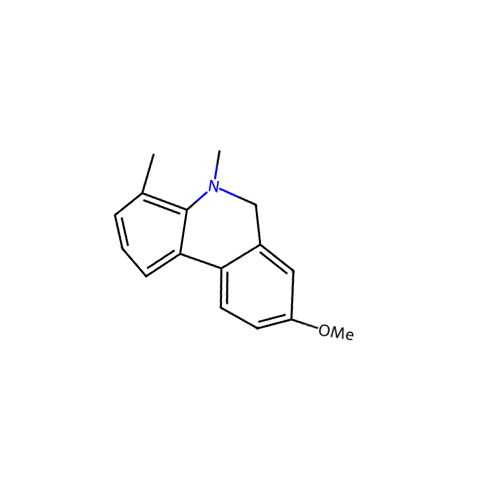 COc1ccc2c(c1)CN(C)c1c(C)cccc1-2